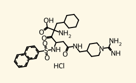 Cl.N=C(N)N1CCC(CNC(=O)CC(NS(=O)(=O)c2ccc3ccccc3c2)C(=O)C(N)(CC2CCCCC2)C(=O)O)CC1